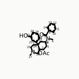 CC(=O)OC12CC[C@H](N(C)C(=O)c3ccccc3)CC1(c1cccc(O)c1)CCN(C)C2